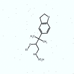 CCOC(CNS(=O)(=O)O)C(C)(C)c1ccc2c(c1)CCO2